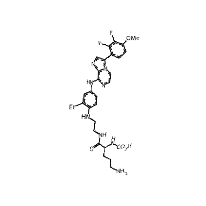 CCc1cc(Nc2nccn3c(-c4ccc(OC)c(F)c4F)cnc23)ccc1NCCNC(=O)[C@H](CCCN)NC(=O)O